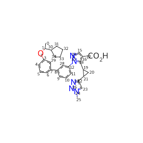 CC(Oc1cccc(-c2cccc(-n3ncc(C(=O)O)c3C3CC3c3cn(C)nn3)c2)c1)C1CCCC1